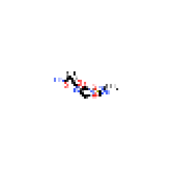 Cc1nc(S(=O)(=O)N2CCC[C@H](NC(=O)[CH]CC(C)C(N)=O)C(=O)C2)c[nH]1